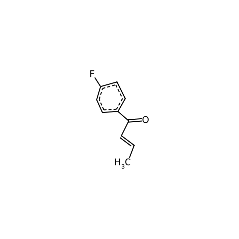 C/C=C/C(=O)c1ccc(F)cc1